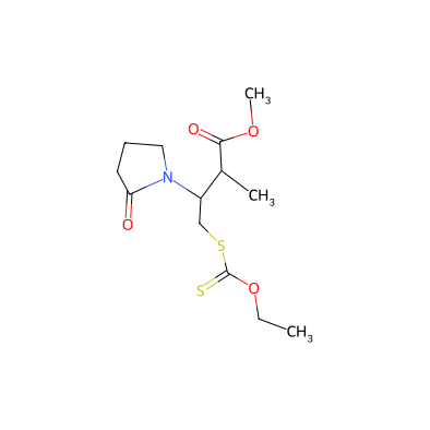 CCOC(=S)SCC(C(C)C(=O)OC)N1CCCC1=O